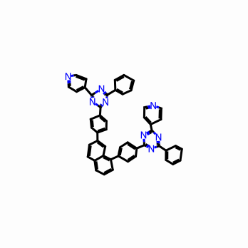 c1ccc(-c2nc(-c3ccncc3)nc(-c3ccc(-c4ccc5cccc(-c6ccc(-c7nc(-c8ccccc8)nc(-c8ccncc8)n7)cc6)c5c4)cc3)n2)cc1